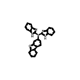 c1ccc2[nH]c(N(c3ccc4c(c3)oc3ccccc34)c3nc4ccccc4[nH]3)nc2c1